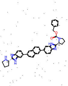 O=C(OCc1ccccc1)N1CCC[C@H]1c1nc2ccc(-c3ccc4cc(-c5ccc6nc([C@@H]7CCCN7)[nH]c6c5)ccc4c3)cc2[nH]1